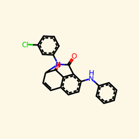 O=C1c2c3ccc(Nc4ccccc4)c2C(=O)N(c2cccc(Cl)c2)C1C=C3